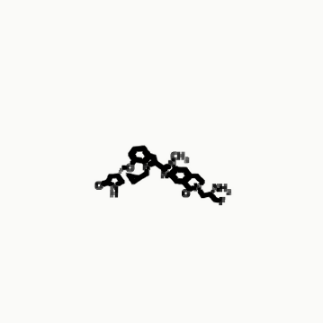 Cn1c(-c2cc3cccc(OC[C@@H]4CNC(=O)C4)c3n2CC2CC2)nc2cc3c(cc21)CCN(C[C@H](N)CF)C3=O